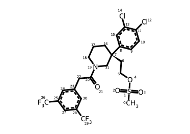 CS(=O)(=O)OCC[C@]1(c2ccc(Cl)c(Cl)c2)CCCN(C(=O)Cc2cc(C(F)(F)F)cc(C(F)(F)F)c2)C1